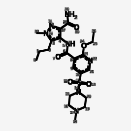 CCCc1c(NC(=O)c2cc(S(=O)(=O)N3CCN(C)CC3)cnc2OCC)c(C(N)=O)nn1C